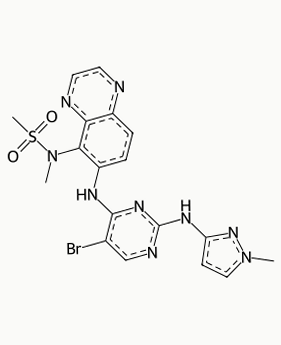 CN(c1c(Nc2nc(Nc3ccn(C)n3)ncc2Br)ccc2nccnc12)S(C)(=O)=O